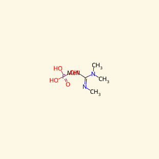 CN=C(NC)N(C)C.O=P(O)(O)O